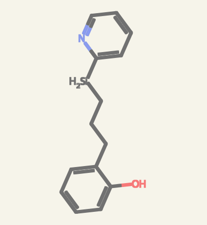 Oc1ccccc1CCC[SiH2]c1ccccn1